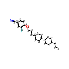 CCC[C@H]1CC[C@H](C2CCC(CCCOc3ccc(C#N)cc3F)CC2)CC1